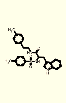 Cc1ccc(CCNC(=O)C(Cc2c[nH]c3ccccc23)NS(=O)(=O)c2ccc(C)cc2)cc1